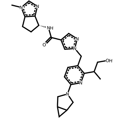 CC(CO)c1nc(N2CC3CC3C2)ccc1Cn1cc(C(=O)N[C@@H]2CCc3c2ncn3C)cn1